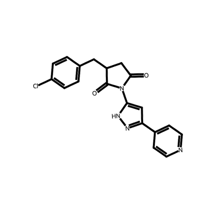 O=C1CC(Cc2ccc(Cl)cc2)C(=O)N1c1cc(-c2ccncc2)n[nH]1